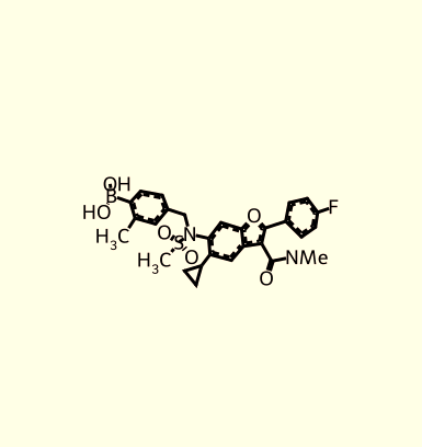 CNC(=O)c1c(-c2ccc(F)cc2)oc2cc(N(Cc3ccc(B(O)O)c(C)c3)S(C)(=O)=O)c(C3CC3)cc12